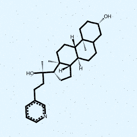 C[C@]12CC[C@H]3[C@@H](CCC4C[C@@H](O)CC[C@@]43C)[C@@H]1CC[C@@H]2[C@](C)(O)CCc1cccnc1